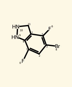 Fc1cc(Br)c(F)c2c1NNC2